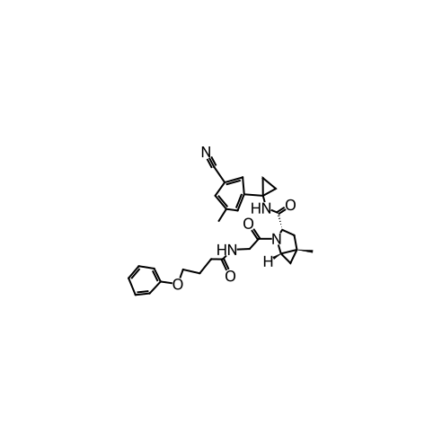 Cc1cc(C#N)cc(C2(NC(=O)[C@@H]3C[C@]4(C)C[C@@H]4N3C(=O)CNC(=O)CCCOc3ccccc3)CC2)c1